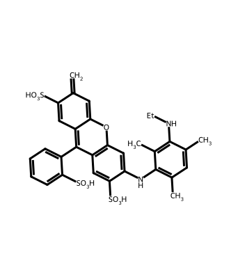 C=c1cc2c(cc1S(=O)(=O)O)=C(c1ccccc1S(=O)(=O)O)c1cc(S(=O)(=O)O)c(Nc3c(C)cc(C)c(NCC)c3C)cc1O2